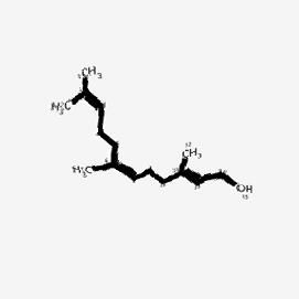 CC(C)=CCCC(C)=CCC/C(C)=C/CO